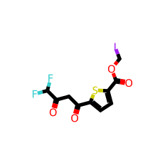 O=C(CC(=O)C(F)F)c1ccc(C(=O)OCI)s1